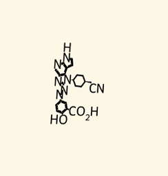 N#CC[C@H]1CC[C@H](n2c(/N=N/c3ccc(O)c(C(=O)O)c3)nc3cnc4[nH]ccc4c32)CC1